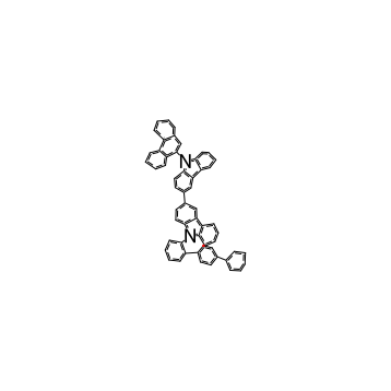 c1ccc(-c2ccc(-c3ccccc3-n3c4ccccc4c4cc(-c5ccc6c(c5)c5ccccc5n6-c5cc6ccccc6c6ccccc56)ccc43)cc2)cc1